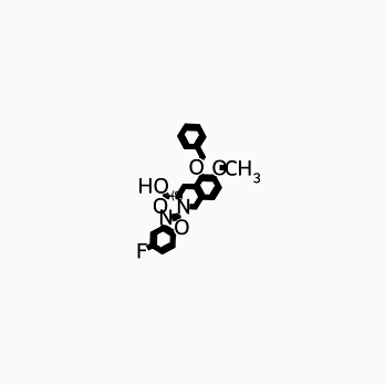 COc1ccc2c(c1OCc1ccccc1)C[C@@H](C(=O)O)N(c1nc3cc(F)ccc3o1)C2